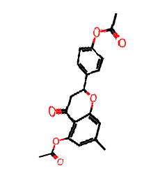 CC(=O)Oc1ccc(C2CC(=O)c3c(OC(C)=O)cc(C)cc3O2)cc1